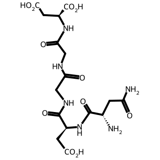 NC(=O)C[C@H](N)C(=O)N[C@@H](CC(=O)O)C(=O)NCC(=O)NCC(=O)N[C@@H](CC(=O)O)C(=O)O